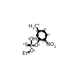 CCOP(O)(=S)Oc1cc(C)ccc1[N+](=O)[O-]